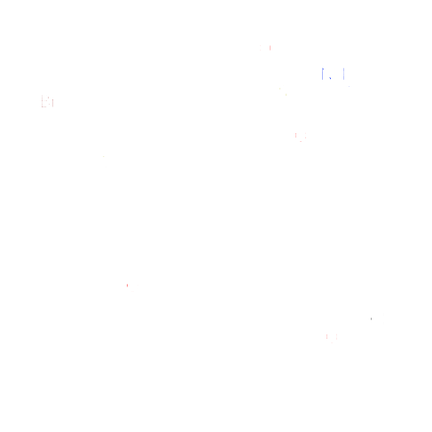 COCc1cccc2c1-c1ccc(CS(N)(=O)=O)cc1C(c1ccc(Br)s1)O2